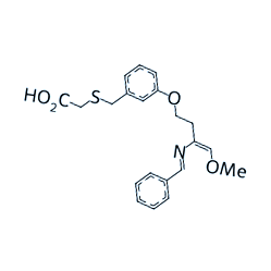 CO/C=C(CCOc1cccc(CSCC(=O)O)c1)\N=C\c1ccccc1